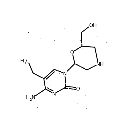 CCc1cn(C2CNCC(CO)O2)c(=O)nc1N